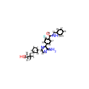 CC(C)(C[C@@H]1CCC[C@H](c2cnc(N)c(-c3ccc(C(=O)NCc4ccccc4)c(F)c3)n2)C1)[Si](C)(C)O